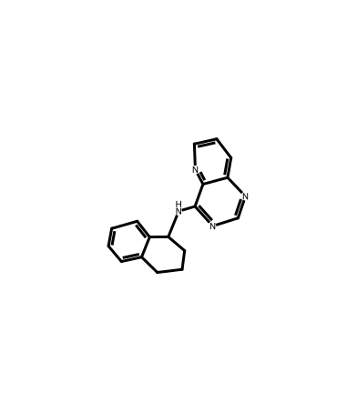 c1ccc2c(c1)CCCC2Nc1ncnc2cccnc12